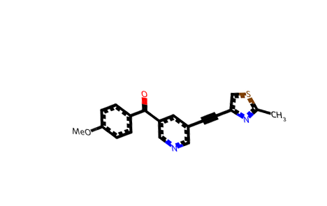 COc1ccc(C(=O)c2cncc(C#Cc3csc(C)n3)c2)cc1